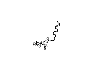 CC/C=C\C/C=C\C/C=C\C/C=C\C/C=C\C/C=C\CCC(=O)OCC1OC(n2cc(C)c(=O)[nH]c2=O)C[C@@H]1N=[N+]=[N-]